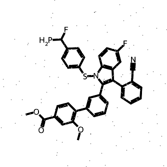 COC(=O)c1ccc(-c2cccc(-c3c(-c4ccccc4C#N)c4cc(F)ccc4n3Sc3ccc(C(F)P)cc3)c2)c(OC)c1